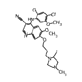 COc1cc(Nc2c(C#N)cnc3cc(OCCCN4CCN(C)CC4I)c(OC)cc23)c(Cl)cc1Cl